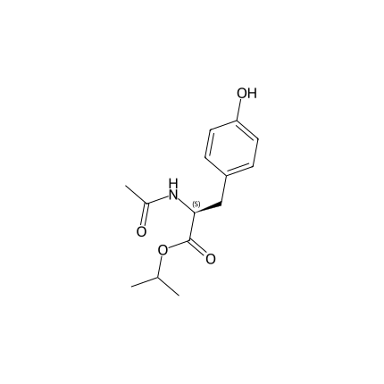 CC(=O)N[C@@H](Cc1ccc(O)cc1)C(=O)OC(C)C